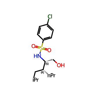 CCC[C@H](CC(C)C)[C@@H](CO)NS(=O)(=O)c1ccc(Cl)cc1